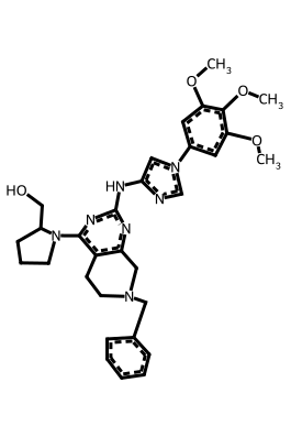 COc1cc(-n2cnc(Nc3nc4c(c(N5CCCC5CO)n3)CCN(Cc3ccccc3)C4)c2)cc(OC)c1OC